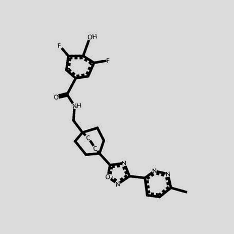 Cc1ccc(-c2noc(C34CCC(CNC(=O)c5cc(F)c(O)c(F)c5)(CC3)CC4)n2)nn1